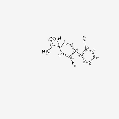 CC(C(=O)O)c1ccc(-c2ccccc2F)c(F)c1